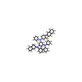 c1ccc(N(c2ccc3c(c2)sc2cc4ccccc4cc23)c2cc(N(c3ccccc3)c3ccccc3)c3c4ccccc4n(-c4ccc5ccccc5c4)c3c2)cc1